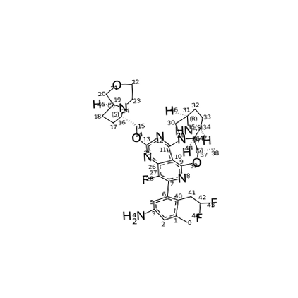 Cc1cc(N)cc(-c2nc3c4c(nc(OC[C@@H]5CC[C@H]6COCCN65)nc4c2F)N2C[C@H]4CC[C@H](N4)[C@H]2[C@H](C)O3)c1CC(F)F